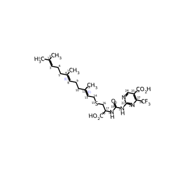 CC(C)=CCC/C(C)=C/CC/C(C)=C/CSCC(NC(=O)Nc1ncc(C(=O)O)c(C(F)(F)F)n1)C(=O)O